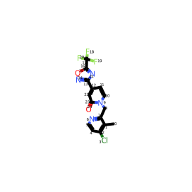 Cc1c(Cl)ccnc1Cn1ccc(-c2noc(C(F)(F)F)n2)cc1=O